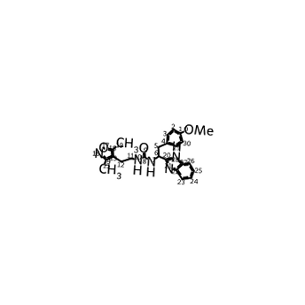 COc1ccc(CC(NC(=O)NCCc2c(C)noc2C)c2nc3ccccc3[nH]2)cc1